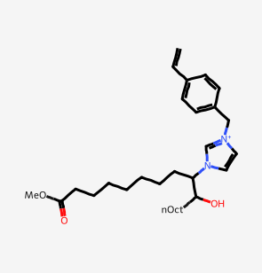 C=Cc1ccc(C[n+]2ccn(C(CCCCCCCC(=O)OC)C(O)CCCCCCCC)c2)cc1